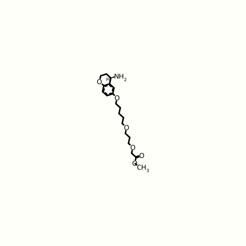 COC(=O)COCCCOCCCCCOc1ccc2c(c1)[C@H](N)CCO2